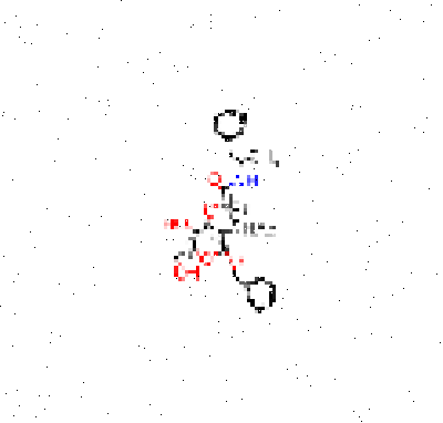 CC(=O)N[C@H]1[C@@H](OCc2ccccc2)O[C@H](CO)[C@@H](O)[C@@H]1OC(C)C(=O)NC(C)Cc1ccccc1